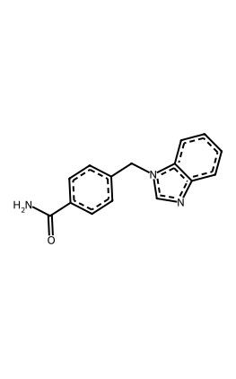 NC(=O)c1ccc(Cn2cnc3ccccc32)cc1